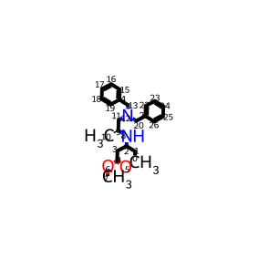 CCC(CC(=O)OC)N[C@H](C)CN(Cc1ccccc1)Cc1ccccc1